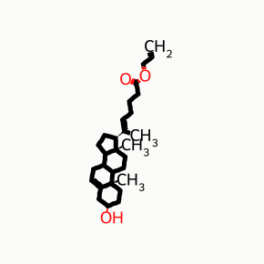 C=CCOC(=O)CCC/C=C(\C)[C@H]1CCC2C3CC=C4C[C@@H](O)CC[C@]4(C)C3CC[C@@]21C